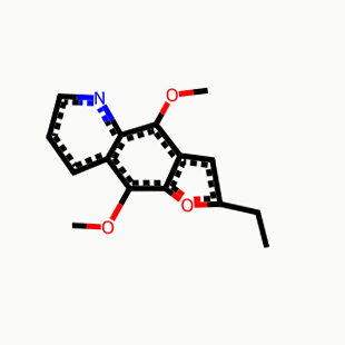 CCc1cc2c(OC)c3ncccc3c(OC)c2o1